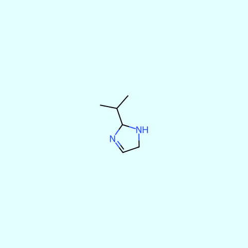 CC(C)C1N=CCN1